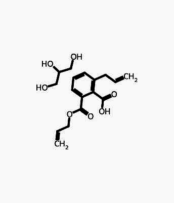 C=CCOC(=O)c1cccc(CC=C)c1C(=O)O.OCC(O)CO